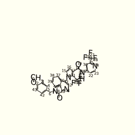 COc1ccc(CN2C(=O)c3ncc(-n4ccc(C(=O)Nc5ccnc(C(F)(F)F)c5)c4C(F)(F)F)c4cccc2c34)cc1